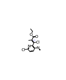 C=Nc1ccc(Cl)nc1/C(Cl)=C(\C)C(=O)OCC